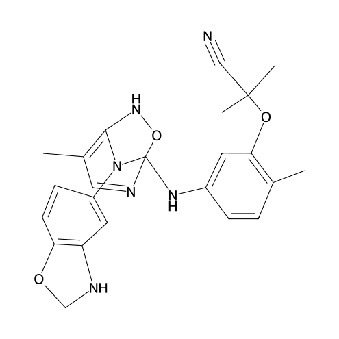 CC1=C2NOC(Nc3ccc(C)c(OC(C)(C)C#N)c3)(N=C1)N2c1ccc2c(c1)NCO2